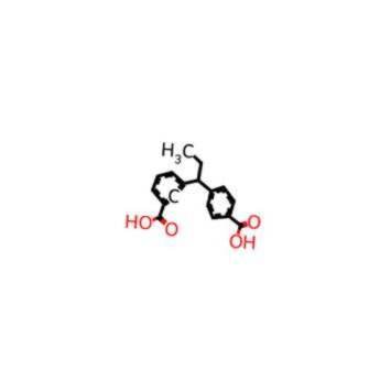 CCC(c1ccc(C(=O)O)cc1)c1cccc(C(=O)O)c1